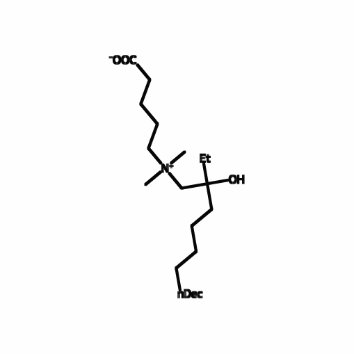 CCCCCCCCCCCCCCC(O)(CC)C[N+](C)(C)CCCCC(=O)[O-]